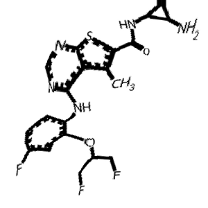 Cc1c(C(=O)NC2CC2N)sc2ncnc(Nc3ccc(F)cc3OC(CF)CF)c12